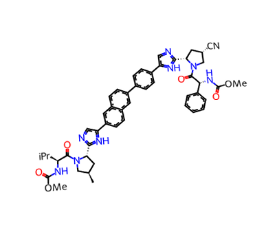 COC(=O)N[C@H](C(=O)N1C[C@H](C)C[C@H]1c1ncc(-c2ccc3cc(-c4ccc(-c5cnc([C@@H]6C[C@H](C#N)CN6C(=O)[C@H](NC(=O)OC)c6ccccc6)[nH]5)cc4)ccc3c2)[nH]1)C(C)C